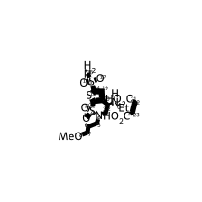 CCN[C@H]1CN(CCCOC)S(=O)(=O)c2sc(S(N)(=O)=O)cc21.O=C(O)/C=C\C(=O)O